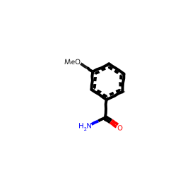 COc1cc[c]c(C(N)=O)c1